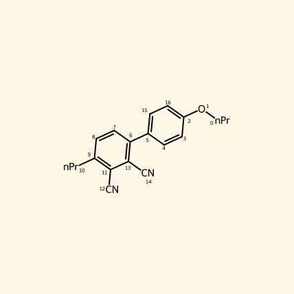 CCCOc1ccc(-c2ccc(CCC)c(C#N)c2C#N)cc1